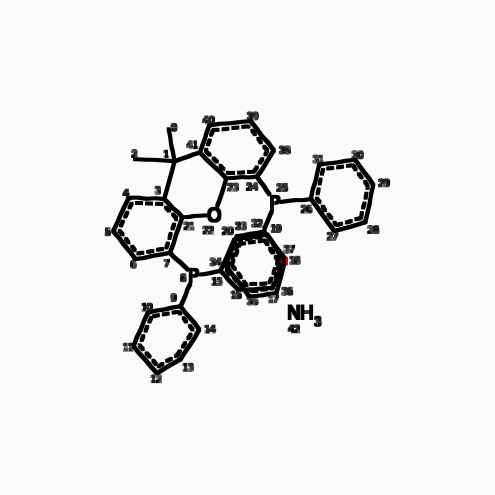 CC1(C)c2cccc(P(c3ccccc3)c3ccccc3)c2Oc2c(P(c3ccccc3)c3ccccc3)cccc21.N